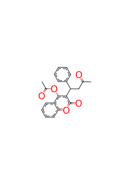 CC(=O)CC(c1ccccc1)c1c(OC(C)=O)c2ccccc2oc1=O